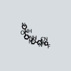 CN1CCC(NC(=O)c2cccc(Nc3nccc(-c4cnc(N5CCC(F)C5)c(C#N)c4)n3)c2)CC1